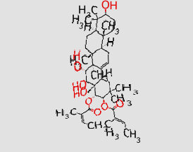 C/C=C(/C)C(=O)O[C@H]1[C@H](OC(=O)/C(C)=C/C)C(C)(C)C[C@H]2C3=CC[C@@H]4[C@@]5(C)CC[C@H](O)C(C)(C)[C@@H]5CC[C@@]4(C)[C@]3(C)[C@@H](O)[C@@H](O)[C@]21CO